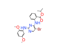 COc1ccc(OC)c(Nc2ncc(Br)c(Nc3ccccc3C(=O)OC(C)C)n2)c1